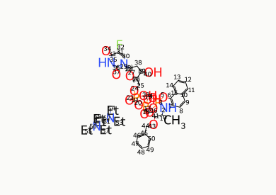 CC(NP(=O)(Oc1cccc2ccccc12)OP(=O)(O)OP(=O)(O)OC[C@H]1O[C@@H](n2cc(F)c(=O)[nH]c2=O)C[C@@H]1O)C(=O)OCc1ccccc1.CCN(CC)CC.CCN(CC)CC